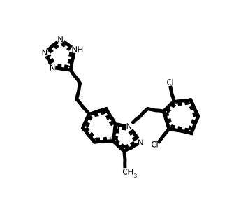 Cc1nn(Cc2c(Cl)cccc2Cl)c2cc(CCc3nnn[nH]3)ccc12